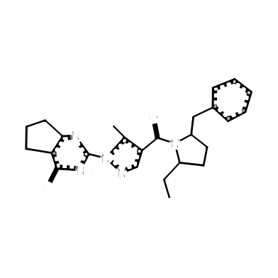 CCC1CCC(Cc2ccccc2)N1C(=O)c1cnn(-c2nc3c(c(=O)[nH]2)CCC3)c1C